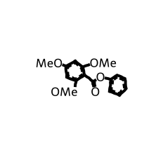 COc1cc(OC)c(C(=O)Oc2ccccc2)c(OC)c1